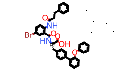 O=C(CCc1ccccc1)Nc1ccc(Br)cc1C(=O)N[C@@H](Cc1ccc(-c2ccccc2Oc2ccccc2)cc1)C(=O)O